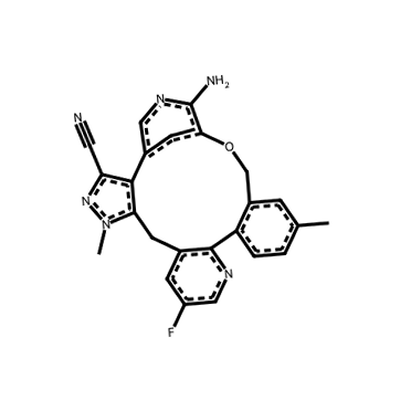 Cc1ccc2c(c1)COc1cc(cnc1N)-c1c(C#N)nn(C)c1Cc1cc(F)cnc1-2